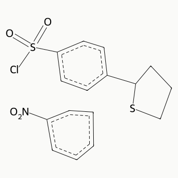 O=S(=O)(Cl)c1ccc(C2CCCS2)cc1.O=[N+]([O-])c1ccccc1